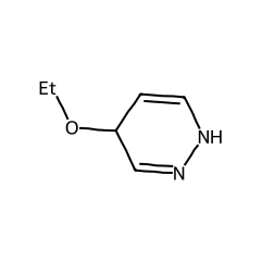 CCOC1C=CNN=C1